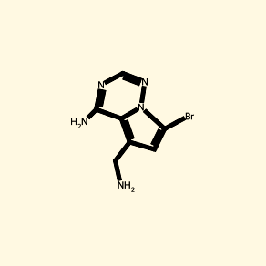 NCc1cc(Br)n2ncnc(N)c12